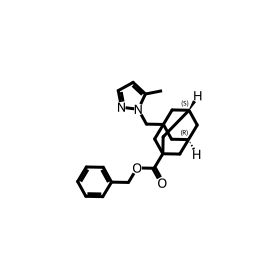 Cc1ccnn1CC12C[C@H]3C[C@@H](C1)CC(C(=O)OCc1ccccc1)(C3)C2